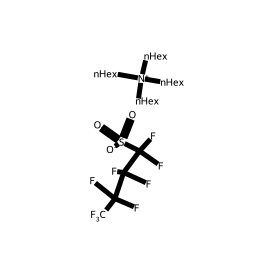 CCCCCC[N+](CCCCCC)(CCCCCC)CCCCCC.O=S(=O)([O-])C(F)(F)C(F)(F)C(F)(F)C(F)(F)F